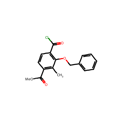 COC(=O)c1ccc(C(=O)Cl)c(OCc2ccccc2)c1C